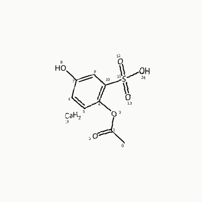 CC(=O)Oc1ccc(O)cc1S(=O)(=O)O.[CaH2]